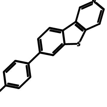 Cc1ccc(-c2ccc3c(c2)sc2ccncc23)cc1